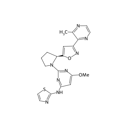 COc1cc(Nc2nccs2)nc(N2CCC[C@H]2c2cc(-c3nccnc3C)no2)n1